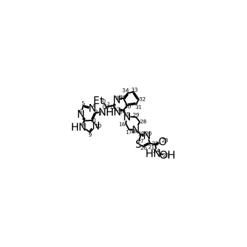 CC[C@H](Nc1ncnc2[nH]cnc12)c1nc(N2CCN(c3nc(C(=O)NO)cs3)CC2)c2ccccc2n1